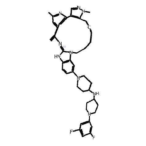 C=C1/N=C2\Nc3ccc(N4CCC(NC5CCN(c6cc(F)cc(F)c6)CC5)CC4)cc3N2CCCCCCc2c(cnn2C)-c2cc1cc(C)n2